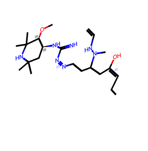 C=CNN(C)C(CC/N=N\C(=N)N[C@H]1CC(C)(C)NC(C)(C)[C@H]1OC)C/C(O)=C\CC